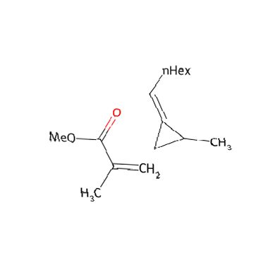 C=C(C)C(=O)OC.CCCCCCC=C1CC1C